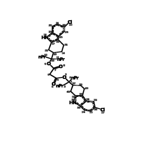 CCCC(CCC)(OC(=O)CC(=O)OC(CCC)(CCC)C1CCc2c([nH]c3ccc(Cl)cc23)C1)C1CCc2c([nH]c3ccc(Cl)cc23)C1